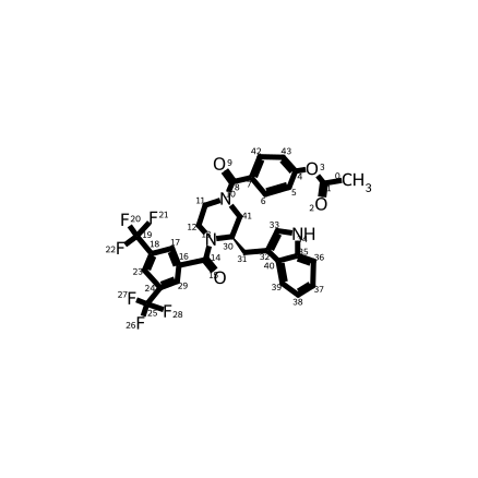 CC(=O)Oc1ccc(C(=O)N2CCN(C(=O)c3cc(C(F)(F)F)cc(C(F)(F)F)c3)[C@H](Cc3c[nH]c4ccccc34)C2)cc1